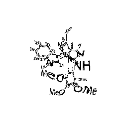 COc1cc(Nc2ncc3c(C)nc(-c4cn(C)c5ccccc45)n3n2)cc(OC)c1OC